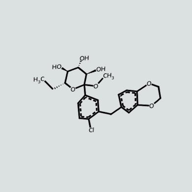 CC[C@H]1OC(OC)(c2ccc(Cl)c(Cc3ccc4c(c3)OCCO4)c2)[C@H](O)[C@@H](O)[C@@H]1O